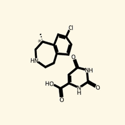 C[C@H]1CNCCc2ccc(Cl)cc21.O=C(O)c1cc(=O)[nH]c(=O)[nH]1